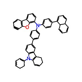 c1ccc2c(c#1)oc1c(N(c3ccc(C4=CC=CC5C=CC=CC45)cc3)c3ccc(-c4ccc5c(c4)c4c(n5C5=CC=CCC5)C=CCC4)cc3)cccc12